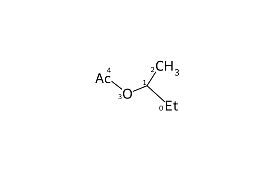 [CH2]CC(C)OC(C)=O